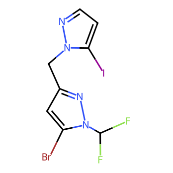 FC(F)n1nc(Cn2nccc2I)cc1Br